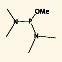 COP(N(C)C)N(C)C